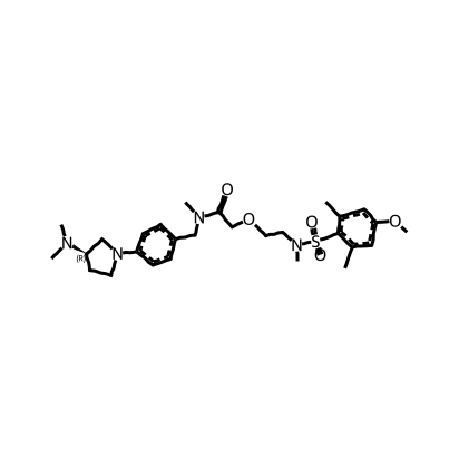 COc1cc(C)c(S(=O)(=O)N(C)CCOCC(=O)N(C)Cc2ccc(N3CC[C@@H](N(C)C)C3)cc2)c(C)c1